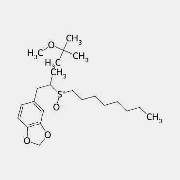 CCCCCCCC[S+]([O-])C(C)Cc1ccc2c(c1)OCO2.COC(C)(C)C